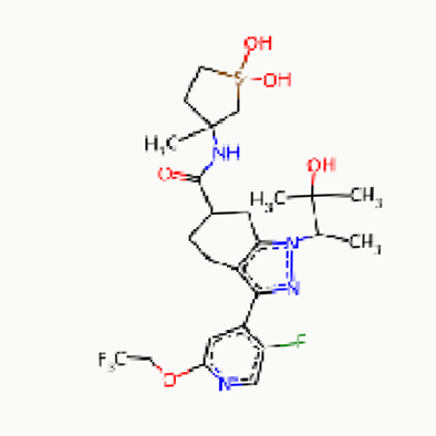 CC(n1nc(-c2cc(OCC(F)(F)F)ncc2F)c2c1CC(C(=O)NC1(C)CCS(O)(O)C1)CC2)C(C)(C)O